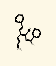 C=CC=CC(C=Cc1ccccc1)=C(C#N)C=C(C)c1ccccc1